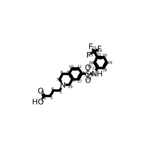 O=C(O)CCCN1CCc2ccc(S(=O)(=O)Nc3cccc(C(F)(F)F)c3)cc2C1